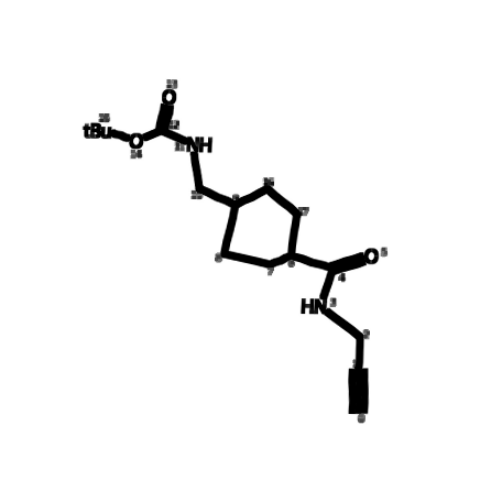 C#CCNC(=O)C1CCC(CNC(=O)OC(C)(C)C)CC1